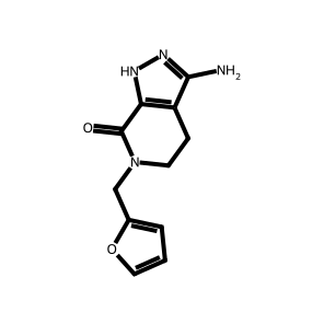 Nc1n[nH]c2c1CCN(Cc1ccco1)C2=O